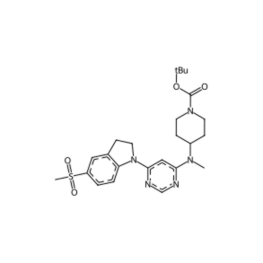 CN(c1cc(N2CCc3cc(S(C)(=O)=O)ccc32)ncn1)C1CCN(C(=O)OC(C)(C)C)CC1